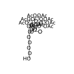 CC(=O)OC[C@H]1O[C@H](O[C@H]2[C@H](OC(C)=O)[C@@H](OC(C)=O)[C@@H](O[C@H]3[C@H](OC(C)=O)[C@@H](OC(C)=O)[C@H](OC(COCCOCCOCCOCCOCCO)NC(=O)OCc4ccccc4)O[C@@H]3COC(C)=O)O[C@@H]2COC(C)=O)[C@H](OC(C)=O)[C@@H](OC(C)=O)[C@@H]1OC(C)=O